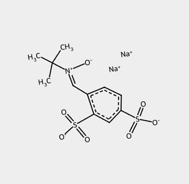 CC(C)(C)/[N+]([O-])=C/c1ccc(S(=O)(=O)[O-])cc1S(=O)(=O)[O-].[Na+].[Na+]